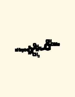 CCCCCCCc1nc(C)c(C(=O)N/N=C/c2ccc(OC)c(O)c2)s1